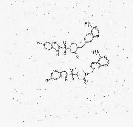 Nc1ncnc2cc(CN3CCN(S(=O)(=O)c4cc5cc(Cl)ccc5[nH]4)CC3=O)ccc12.Nc1ncnc2cc(CN3CCN(S(=O)(=O)c4cc5ccc(Cl)cc5[nH]4)CC3=O)ccc12